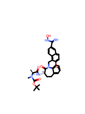 COc1ccc2cc(C(=N)NO)ccc2c1CN1C(=O)[C@@H](NC(=O)[C@H](C)N(C)C(=O)OC(C)(C)C)CCc2ccccc21